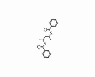 CC(CC(C)SC(=O)c1ccccc1)SC(=O)c1ccccc1